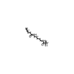 CCC(C)(C)C(=O)NCCCCCNC(=O)CN=[N+]=[N-]